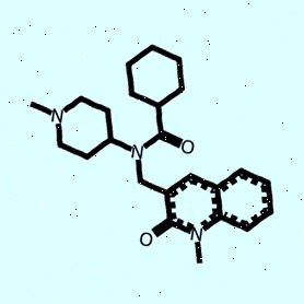 CN1CCC(N(Cc2cc3ccccc3n(C)c2=O)C(=O)C2CCCCC2)CC1